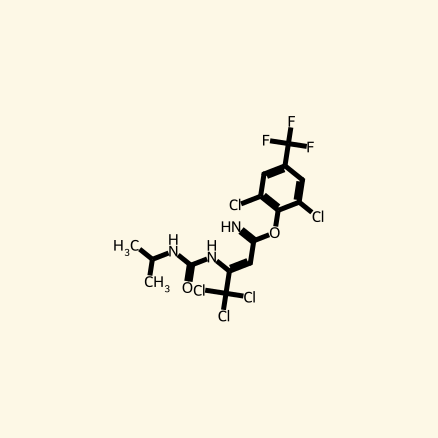 CC(C)NC(=O)N/C(=C\C(=N)Oc1c(Cl)cc(C(F)(F)F)cc1Cl)C(Cl)(Cl)Cl